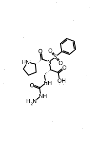 NNC(=O)NC[C@@H](C(=O)O)N(C(=O)[C@@H]1CCCN1)S(=O)(=O)c1ccccc1